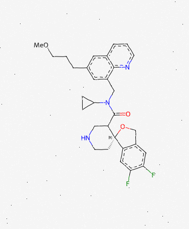 COCCCc1cc(CN(C(=O)C2CNCC[C@@]23OCc2cc(F)c(F)cc23)C2CC2)c2ncccc2c1